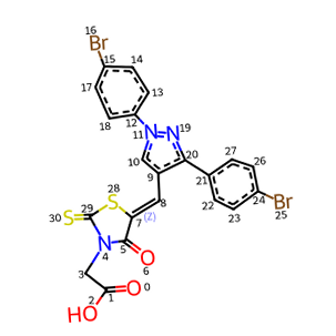 O=C(O)CN1C(=O)/C(=C/c2cn(-c3ccc(Br)cc3)nc2-c2ccc(Br)cc2)SC1=S